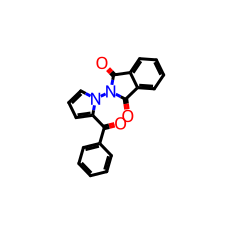 O=C(c1ccccc1)c1cccn1N1C(=O)c2ccccc2C1=O